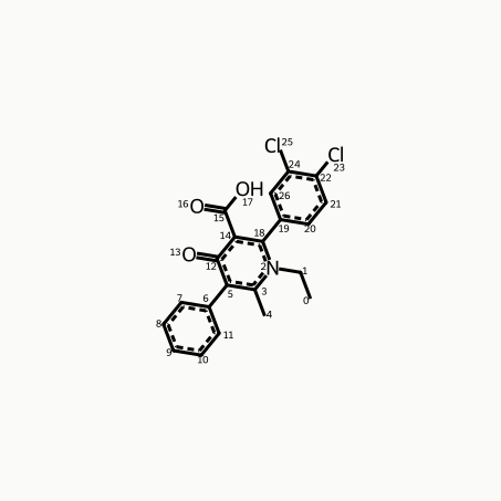 CCn1c(C)c(-c2ccccc2)c(=O)c(C(=O)O)c1-c1ccc(Cl)c(Cl)c1